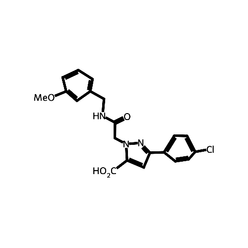 COc1cccc(CNC(=O)Cn2nc(-c3ccc(Cl)cc3)cc2C(=O)O)c1